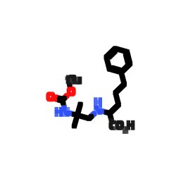 CC(C)(CNC(CCCc1ccccc1)C(=O)O)NC(=O)OC(C)(C)C